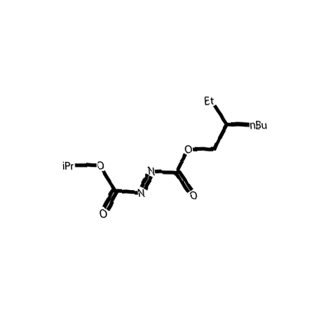 CCCCC(CC)COC(=O)N=NC(=O)OC(C)C